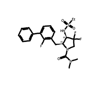 CCS(=O)(=O)N[C@@H]1[C@H](Cc2cccc(-c3ccccc3)c2F)N(C(=O)N(C)C)CC1(F)F